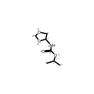 CC(C)OC(=O)NC1CO[CH]O1